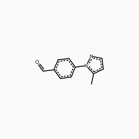 Cc1ccnn1-c1ccc(C=O)cc1